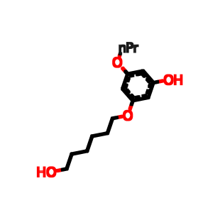 CCCOc1cc(O)cc(OCCCCCCO)c1